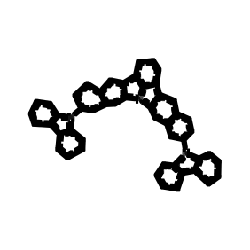 c1ccc2c(c1)c1ccccc1n2-c1ccc2cc3c4cccc5c6cc7ccc(-n8c9ccccc9c9ccccc98)cc7cc6n(c3cc2c1)c45